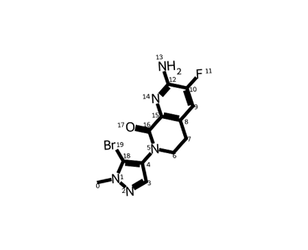 Cn1ncc(N2CCc3cc(F)c(N)nc3C2=O)c1Br